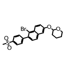 CS(=O)(=O)c1ccc(-c2ccc3cc(OC4CCCCO4)ccc3c2Br)cc1